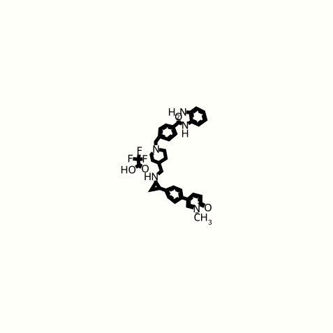 Cn1cc(-c2ccc(C3CC3NCC3CCN(Cc4ccc(C(=O)Nc5ccccc5N)cc4)CC3)cc2)ccc1=O.O=C(O)C(F)(F)F